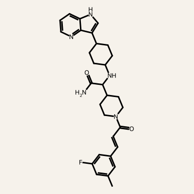 Cc1cc(F)cc(/C=C/C(=O)N2CCC(C(NC3CCC(c4c[nH]c5cccnc45)CC3)C(N)=O)CC2)c1